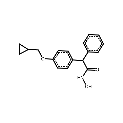 O=C(NO)C(c1ccccc1)c1ccc(OCC2CC2)cc1